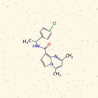 Cc1cc(C)n2ccc(C(=O)NC(C)c3ccc(Cl)cc3)c2n1